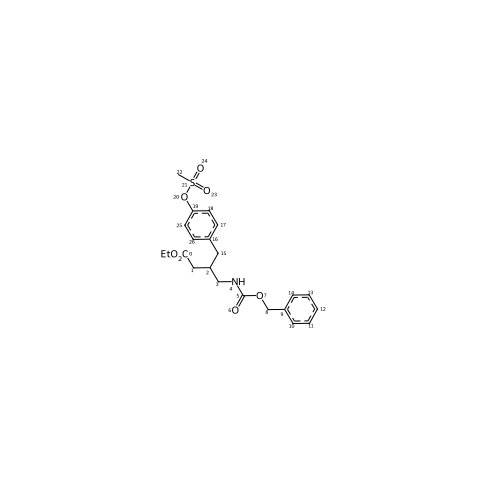 CCOC(=O)CC(CNC(=O)OCc1ccccc1)Cc1ccc(OS(C)(=O)=O)cc1